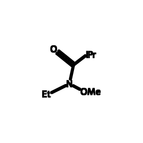 CCN(OC)C(=O)C(C)C